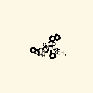 COc1ccccc1CN(C)C(=O)[C@@H](Cc1ccc2ccccc2c1)N1CCN[C@H](Cc2c[nH]c3ccccc23)C1=O